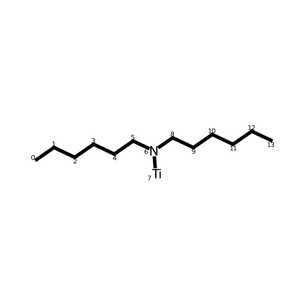 CCCCCC[N]([Ti])CCCCCC